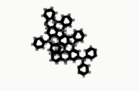 c1ccc(N(c2ccccc2)c2cc3c4c(c2)-n2c5ccccc5c5c2c(cc2c6c(N(c7ccccc7)c7ccccc7)cc7c8c6n(c25)-c2ccccc2B8c2ccccc2O7)B4c2ccccc2O3)cc1